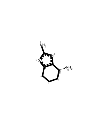 Nc1nc2c(s1)CCC[C@H]2N